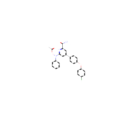 CC(=O)ON(c1ccccc1)c1cc(-c2ccc(Oc3ccc(F)cc3)cc2)cc(C(N)=O)n1